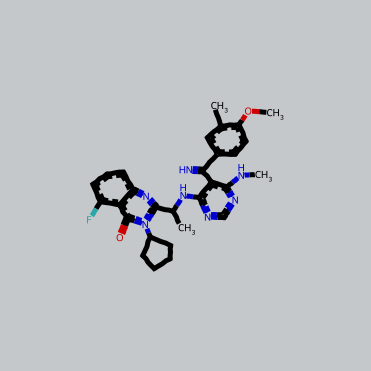 CNc1ncnc(NC(C)c2nc3cccc(F)c3c(=O)n2C2CCCC2)c1C(=N)c1ccc(OC)c(C)c1